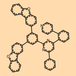 c1ccc(-c2cc(-c3ccccc3-c3ccncc3)nc(-c3cc(-c4ccc5oc6ccccc6c5c4)cc(-c4ccc5oc6ccccc6c5c4)c3)n2)cc1